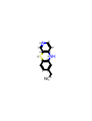 N#CCc1ccc2c(c1)Nc1ccncc1S2